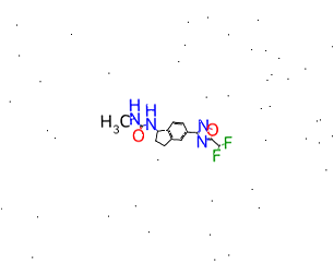 CNC(=O)NC1CCc2cc(-c3noc(C(F)F)n3)ccc21